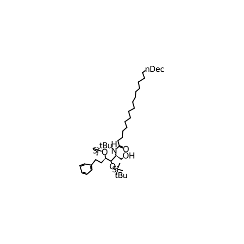 CCCCCCCCCCCCCCCCCCCCCCCCCC(=O)N[C@@H](CO)C(O[Si](C)(C)C(C)(C)C)[C@@H](CCc1ccccc1)O[Si](C)(C)C(C)(C)C